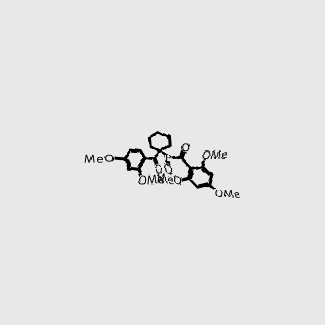 COc1ccc(C(=O)C2([P](=O)C(=O)c3c(OC)cc(OC)cc3OC)CCCCC2)c(OC)c1